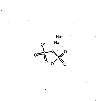 O=S(=O)([O-])SS(=O)(=O)[O-].[Na+].[Na+]